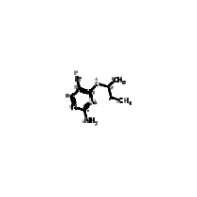 CCC(C)Oc1nc(N)ncc1Br